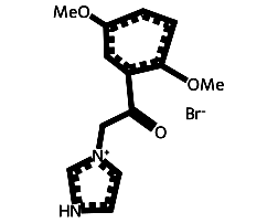 COc1ccc(OC)c(C(=O)C[n+]2cc[nH]c2)c1.[Br-]